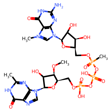 CO[C@@H]1C(O)[C@H](n2cnc3c(=O)[nH]c(C)nc32)O[C@@H]1COP(=O)(O)OP(=O)(O)OP(C)(=O)OC[C@H]1O[C@@H](n2c[n+](C)c3c(=O)[nH]c(N)nc32)C(O)[C@H]1O